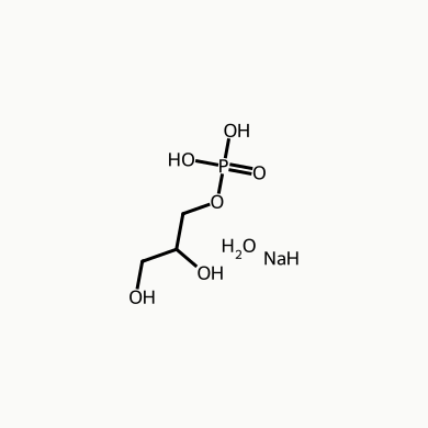 O.O=P(O)(O)OCC(O)CO.[NaH]